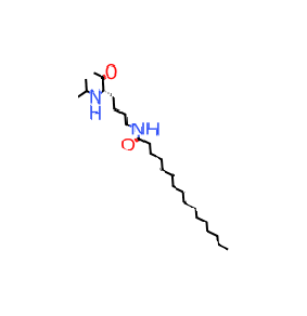 CCCCCCCCCCCCCCCC(=O)NCCCC[C@H](NC(C)C)C(C)=O